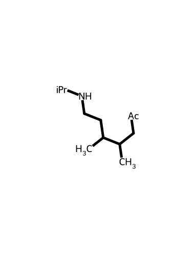 CC(=O)CC(C)C(C)CCNC(C)C